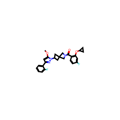 COc1cc(-c2ccccc2F)nn1C1CC2(C1)CN(C(=O)c1ccc(F)cc1OC1CC1)C2